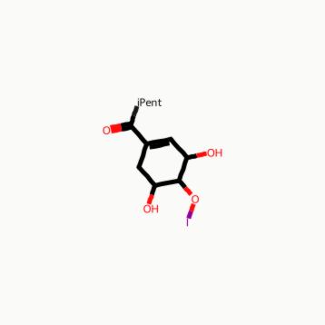 CCCC(C)C(=O)C1=CC(O)C(OI)C(O)C1